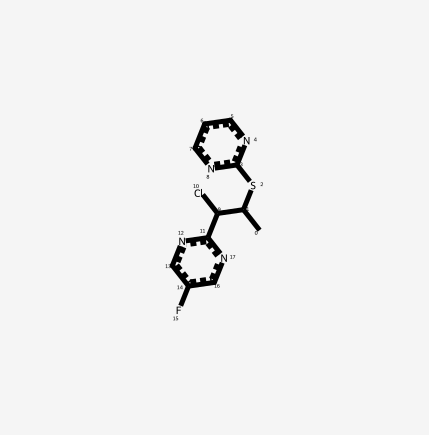 CC(Sc1ncccn1)C(Cl)c1ncc(F)cn1